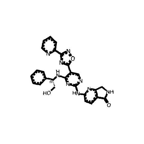 O=C1NCc2nc(Nc3ncc(-c4nc(-c5ccccn5)no4)c(N[C@H](CO)c4ccccc4)n3)ccc21